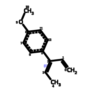 C=C/C(=C\C)c1ccc(OC)cc1